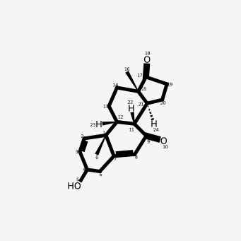 C[C@]12C=CC(O)CC1=CC(=O)[C@@H]1[C@H]2CC[C@]2(C)C(=O)CC[C@@H]12